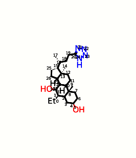 CC[C@@H]1C2C[C@H](O)CC[C@@]2(C)[C@H]2CC[C@]3(C)[C@@H]([C@H](C)CCc4nnn[nH]4)CC[C@H]3C2[C@@H]1O